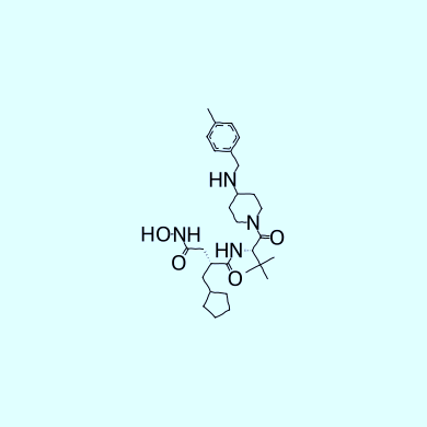 Cc1ccc(CNC2CCN(C(=O)[C@@H](NC(=O)[C@@H](CC(=O)NO)CC3CCCC3)C(C)(C)C)CC2)cc1